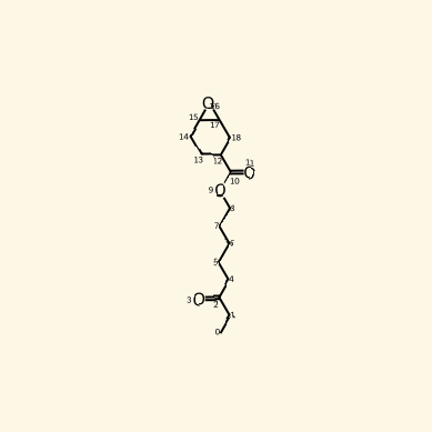 CCC(=O)CCCCCOC(=O)C1CCC2OC2C1